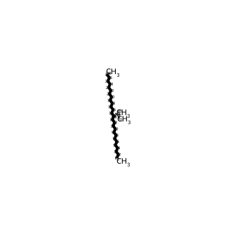 CCCCCCCCCCCCCCC(CCCCCCCCCCCCCC)N(C)C